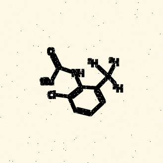 [2H]C([2H])([2H])c1cccc(Cl)c1NC(=O)C(C)(C)C